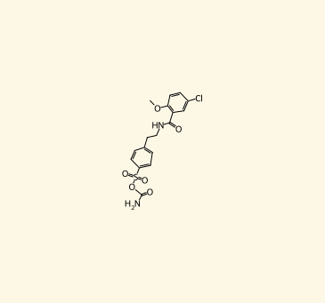 COc1ccc(Cl)cc1C(=O)NCCc1ccc(S(=O)(=O)OC(N)=O)cc1